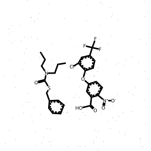 CCCN(CCC)C(=O)SCc1ccccc1.O=C(O)c1cc(Oc2ccc(C(F)(F)F)cc2Cl)ccc1[N+](=O)[O-]